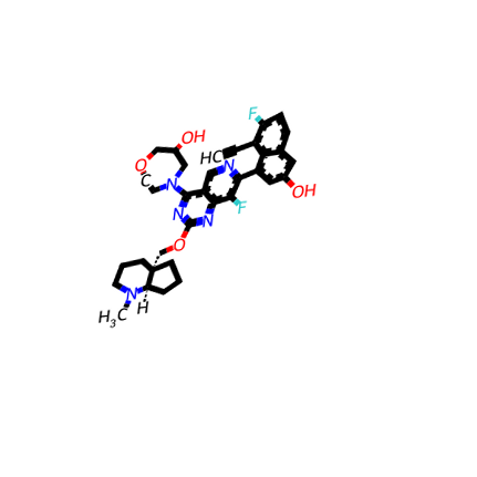 C#Cc1c(F)ccc2cc(O)cc(-c3ncc4c(N5CCOCC(O)C5)nc(OC[C@]56CCC[C@H]5N(C)CCC6)nc4c3F)c12